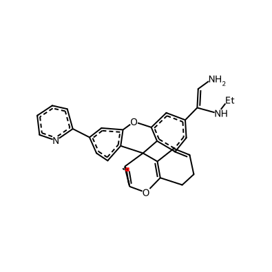 CCN/C(=C\N)c1ccc2c(c1)Oc1cc(-c3ccccn3)ccc1C21C2=CC=CCC2OC2=C1C=CCC2